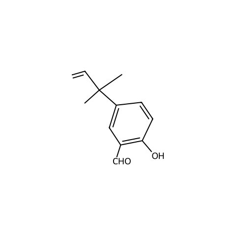 C=CC(C)(C)c1ccc(O)c(C=O)c1